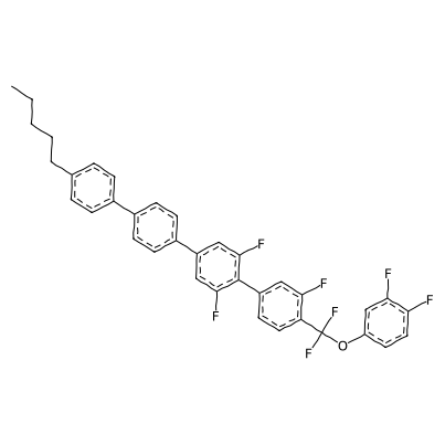 CCCCCc1ccc(-c2ccc(-c3cc(F)c(-c4ccc(C(F)(F)Oc5ccc(F)c(F)c5)c(F)c4)c(F)c3)cc2)cc1